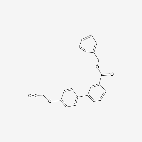 O=CCOc1ccc(-c2cccc(C(=O)OCc3ccccc3)c2)cc1